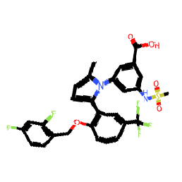 Cc1ccc(-c2cc(C(F)(F)F)ccc2OCc2ccc(F)cc2F)n1-c1cc(NS(C)(=O)=O)cc(C(=O)O)c1